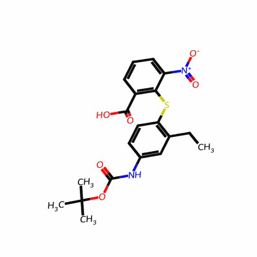 CCc1cc(NC(=O)OC(C)(C)C)ccc1Sc1c(C(=O)O)cccc1[N+](=O)[O-]